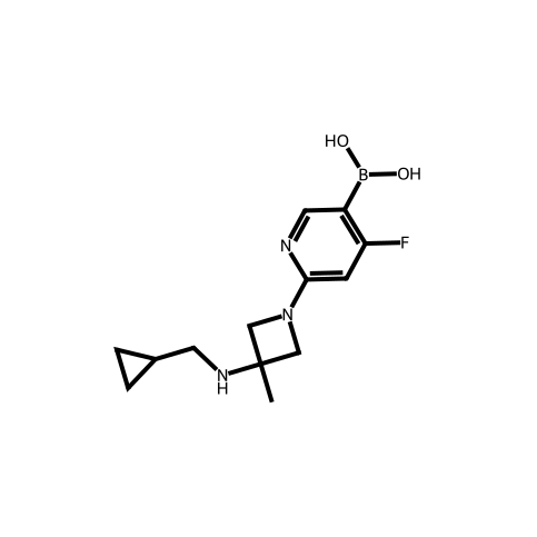 CC1(NCC2CC2)CN(c2cc(F)c(B(O)O)cn2)C1